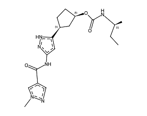 CC[C@H](C)NC(=O)O[C@@H]1CC[C@H](c2cc(NC(=O)c3cnn(C)c3)n[nH]2)C1